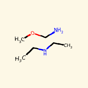 CCNCC.COCN